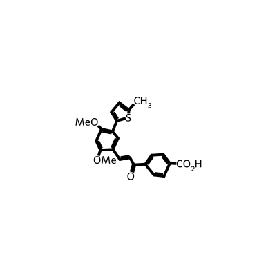 COc1cc(OC)c(-c2ccc(C)s2)cc1C=CC(=O)c1ccc(C(=O)O)cc1